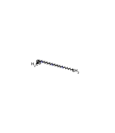 C=CCCCCCC/C=C/CCCCCC/C=C/CCCCCC/C=C/C1COC(=C)O1